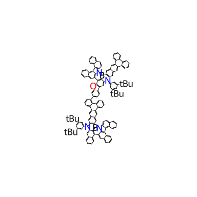 CC(C)(C)c1cc(N2c3cc4cc5c(cc4cc3B3c4c2cc2ccccc2c4-c2cc4ccccc4c4c6c7ccccc7ccc6n3c24)c2ccccc2c2c(-c3ccc4c(c3)oc3c6c7c(cc34)N(c3cc(C(C)(C)C)cc(C(C)(C)C)c3)c3cc4cc8c9ccccc9c9ccccc9c8cc4cc3B7n3c4ccc7ccccc7c4c4c7ccccc7cc-6c43)cccc52)cc(C(C)(C)C)c1